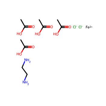 CC(=O)O.CC(=O)O.CC(=O)O.CC(=O)O.NCCN.[Cl-].[Cl-].[Fe+2]